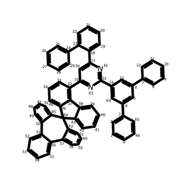 c1ccc(-c2cc(-c3ccccc3)cc(-c3nc(-c4ccccc4-c4ccccc4)cc(-c4cccc5c4-c4ccccc4C54c5ccccc5-c5ccccc5-c5ccccc54)n3)c2)cc1